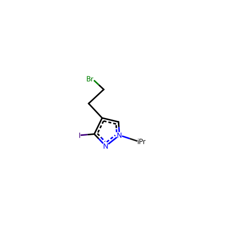 CC(C)n1cc(CCBr)c(I)n1